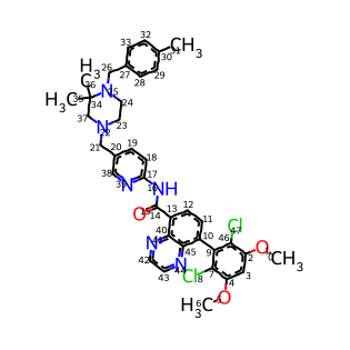 COc1cc(OC)c(Cl)c(-c2ccc(C(=O)Nc3ccc(CN4CCN(Cc5ccc(C)cc5)C(C)(C)C4)cn3)c3nccnc23)c1Cl